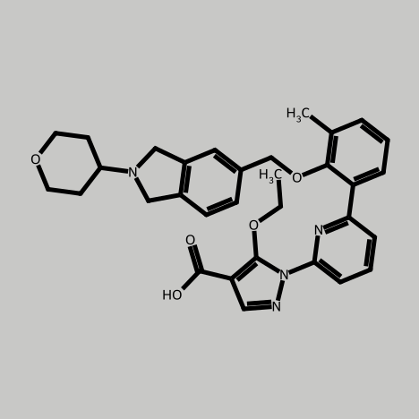 CCOc1c(C(=O)O)cnn1-c1cccc(-c2cccc(C)c2OCc2ccc3c(c2)CN(C2CCOCC2)C3)n1